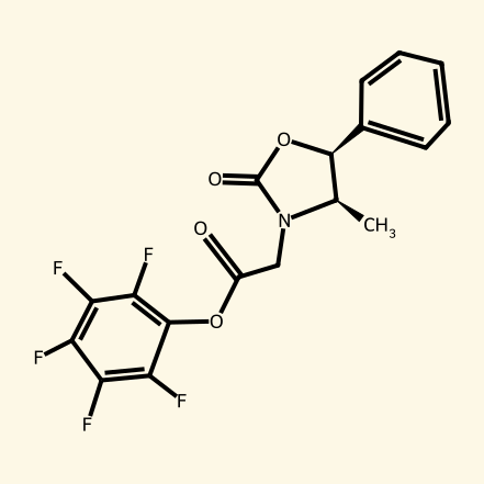 C[C@@H]1[C@H](c2ccccc2)OC(=O)N1CC(=O)Oc1c(F)c(F)c(F)c(F)c1F